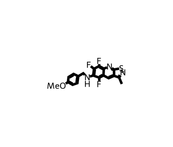 COc1ccc(CNc2c(F)c(F)c3nc4snc(C)c4cc3c2F)cc1